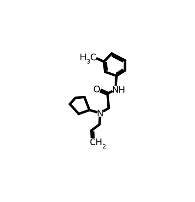 C=CCN(CC(=O)Nc1cccc(C)c1)C1CCCC1